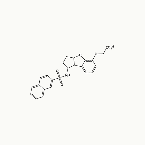 O=C(O)COc1cccc2c1OC1CCC(NS(=O)(=O)c3ccc4ccccc4c3)C21